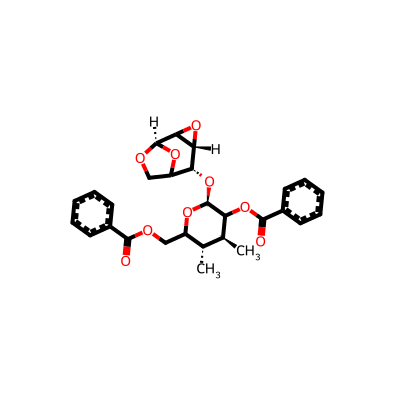 C[C@@H]1C(COC(=O)c2ccccc2)O[C@@H](O[C@@H]2C3CO[C@H](O3)C3O[C@@H]32)C(OC(=O)c2ccccc2)[C@H]1C